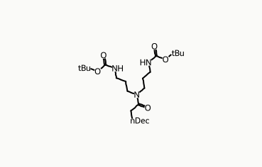 CCCCCCCCCCCC(=O)N(CCCNC(=O)OC(C)(C)C)CCCNC(=O)OC(C)(C)C